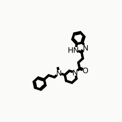 CN(CCc1ccccc1)C1CCCN(C(=O)CCc2nc3ccccc3[nH]2)C1